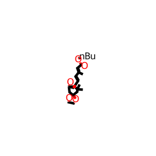 CCCCOC(=O)/C=C(C)/C=C/C12OC1(C)CC1(CC2(C)C)OCCO1